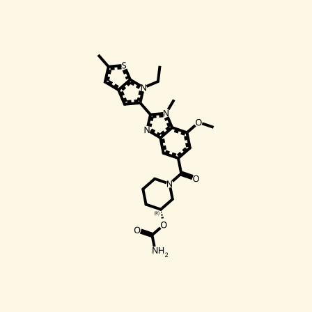 CCn1c(-c2nc3cc(C(=O)N4CCC[C@@H](OC(N)=O)C4)cc(OC)c3n2C)cc2cc(C)sc21